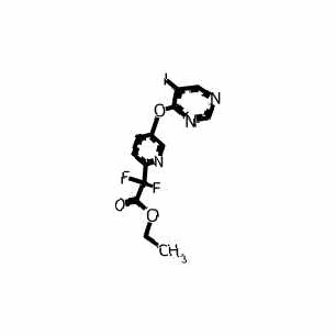 CCOC(=O)C(F)(F)c1ccc(Oc2ncncc2I)cn1